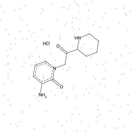 Cl.Nc1cccn(CC(=O)C2CCCCN2)c1=O